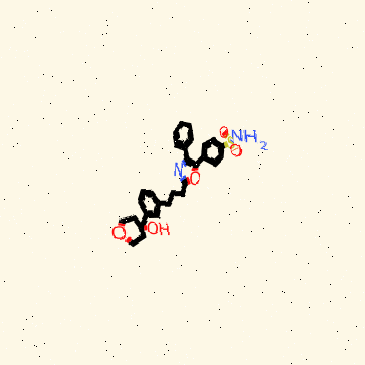 NS(=O)(=O)c1ccc(-c2oc(CCCc3cccc(C4(O)CCOCC4)c3)nc2-c2ccccc2)cc1